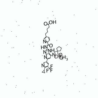 COCC1(CN(C)c2cc(-c3cnc(C4CC4)c(C(F)(F)F)c3)nc3nc(NC(=O)c4ccc(CCCCC(=O)O)cn4)[nH]c23)CCCC1